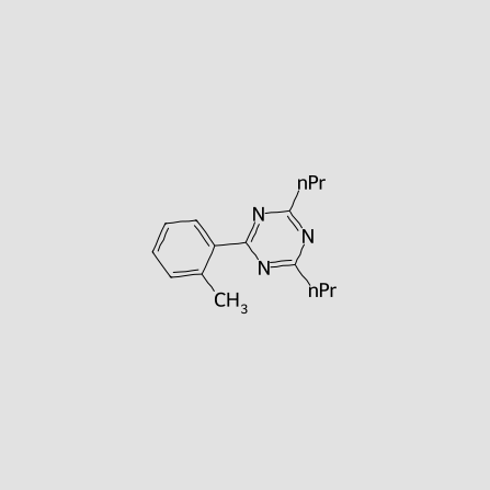 CCCc1nc(CCC)nc(-c2ccccc2C)n1